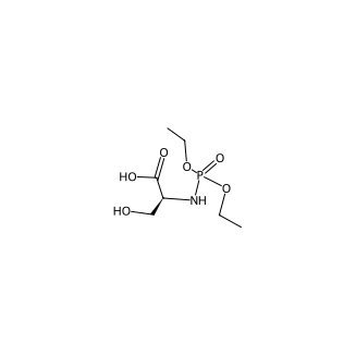 CCOP(=O)(N[C@@H](CO)C(=O)O)OCC